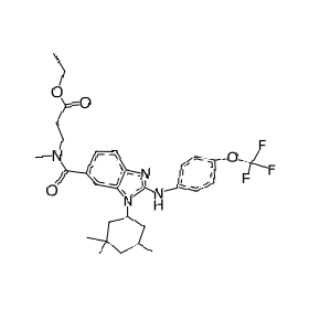 CCOC(=O)CCN(C)C(=O)c1ccc2nc(Nc3ccc(OC(F)(F)F)cc3)n(C3CC(C)CC(C)(C)C3)c2c1